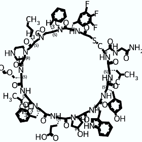 CCCC[C@H]1C(=O)N2CCNC[C@@H]2C(=O)N[C@@H](COC=O)C(=O)N[C@@H](C(C)C)C(=O)N(C)[C@@H](Cc2ccccc2)C(=O)N[C@@H](CCC(=O)O)C(=O)N2C[C@H](O)C[C@@H]2C(=O)N[C@@H](Cc2c[nH]c3ccccc23)C(=O)N[C@@H](Cc2ccc(O)cc2)C(=O)N[C@@H](CC(C)C)C(=O)N[C@H](C(=O)NCC(N)=O)CSCC(=O)N[C@@H](Cc2cc(F)c(F)c(F)c2)C(=O)N(C)[C@@H](Cc2ccccc2)C(=O)N1C